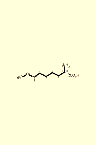 CC(C)(C)ONCCCC[C@H](N)C(=O)O